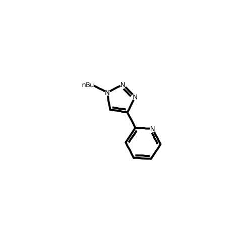 CCCCn1cc(-c2ccccn2)nn1